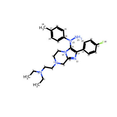 CCN(CC)CCN1CCn2c(nc(-c3ccc(F)cc3)c2N(N)c2ccc(C)cc2)C1